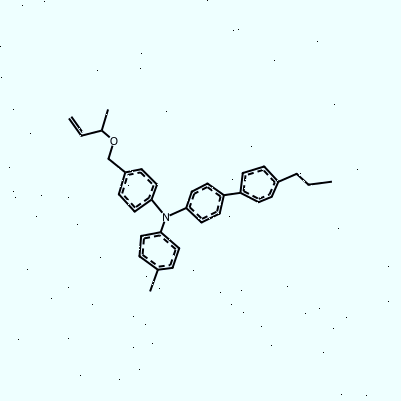 C=CC(C)OCc1ccc(N(c2ccc(C)cc2)c2ccc(-c3ccc(CCC)cc3)cc2)cc1